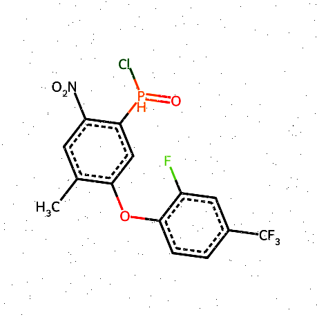 Cc1cc([N+](=O)[O-])c([PH](=O)Cl)cc1Oc1ccc(C(F)(F)F)cc1F